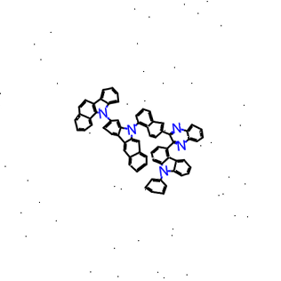 c1ccc(-n2c3ccccc3c3c(-c4nc5ccccc5nc4-c4ccc5c(-n6c7cc(-n8c9ccccc9c9ccc%10ccccc%10c98)ccc7c7cc8ccccc8cc76)cccc5c4)cccc32)cc1